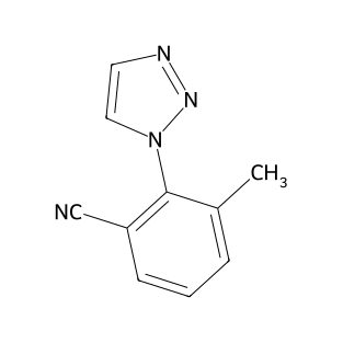 Cc1cccc(C#N)c1-n1ccnn1